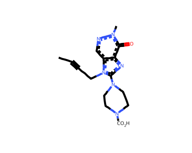 CC#CCn1c(N2CCN(C(=O)O)CC2)nc2c(=O)n(C)ncc21